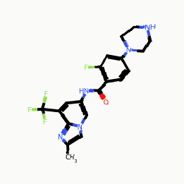 Cc1cn2cc(NC(=O)c3ccc(N4CCNCC4)cc3F)cc(C(F)(F)F)c2n1